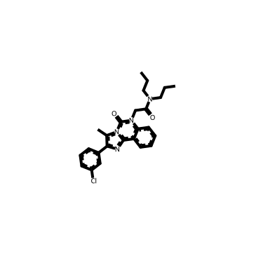 CCCN(CCC)C(=O)Cn1c(=O)n2c(C)c(-c3cccc(Cl)c3)nc2c2ccccc21